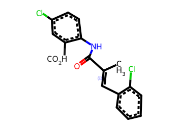 C/C(=C\c1ccccc1Cl)C(=O)Nc1ccc(Cl)cc1C(=O)O